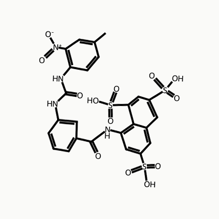 Cc1ccc(NC(=O)Nc2cccc(C(=O)Nc3cc(S(=O)(=O)O)cc4cc(S(=O)(=O)O)cc(S(=O)(=O)O)c34)c2)c([N+](=O)[O-])c1